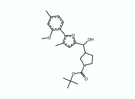 COc1cc(C)ccc1-c1oc(C(O)C2CCN(C(=O)OC(C)(C)C)C2)cc1C